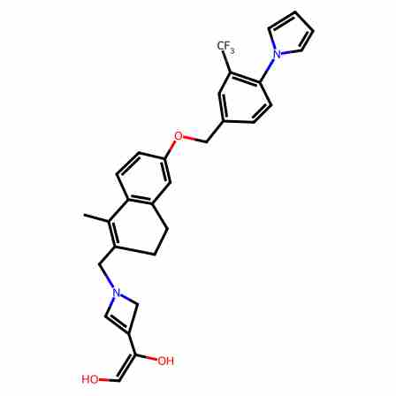 CC1=C(CN2C=C(/C(O)=C\O)C2)CCc2cc(OCc3ccc(-n4cccc4)c(C(F)(F)F)c3)ccc21